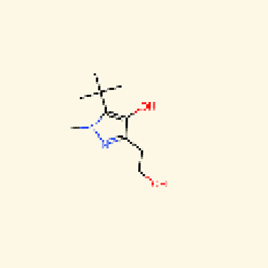 Cn1nc(CCO)c(O)c1C(C)(C)C